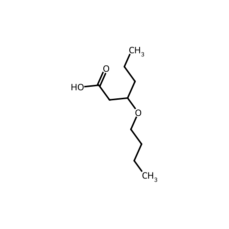 CCCCOC(CCC)CC(=O)O